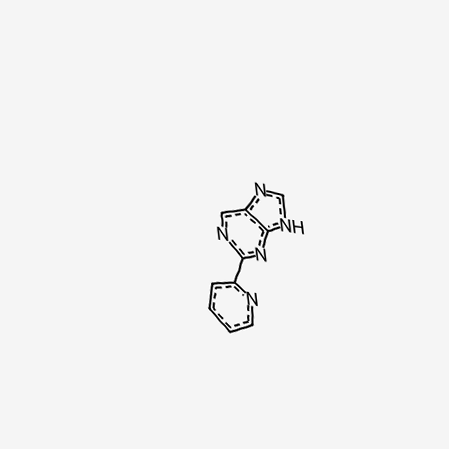 c1ccc(-c2ncc3nc[nH]c3n2)nc1